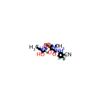 CC#C[C@@H](O)[C@H]1COc2c(cn(C)c2C(=O)Nc2ccc(F)c(C#N)c2)S(=O)(=O)N1